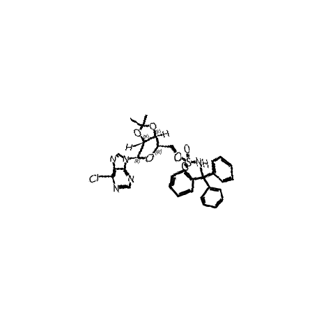 CC1(C)O[C@@H]2[C@H](O1)[C@@H](COS(=O)(=O)NC(c1ccccc1)(c1ccccc1)c1ccccc1)O[C@H]2n1cnc2c(Cl)ncnc21